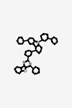 c1ccc(-c2cccc(-n3c4ccc(-c5ccccc5)cc4c4c(-c5cccc(-c6nc(-c7ccccc7)c7oc8ccccc8c7n6)c5)cccc43)c2)cc1